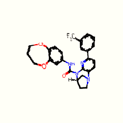 O=C(Nc1ccc2c(c1)OCCCO2)N1c2nc(-c3cccc(C(F)(F)F)c3)ccc2N2CC[C@H]1C2